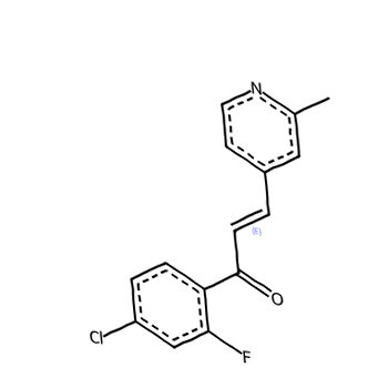 Cc1cc(/C=C/C(=O)c2ccc(Cl)cc2F)ccn1